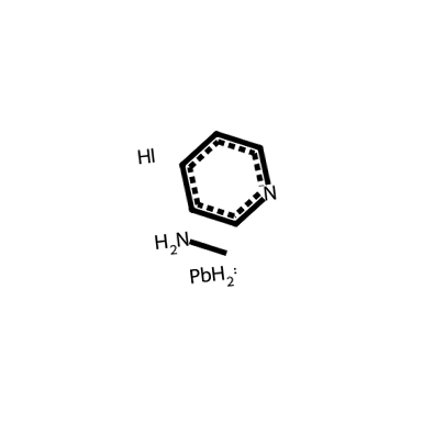 CN.I.[PbH2].c1ccncc1